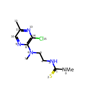 CNC(=S)NCCN(C)c1ncc(C)nc1Cl